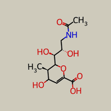 CC(=O)NC[C@H](O)[C@H](O)C1OC(C(=O)O)=CC(O)[C@H]1C